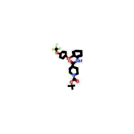 CC(C)(C)OC(=O)N1CCC(C(=O)Nc2ccccc2Oc2ccc(OC(F)(F)F)cc2)CC1